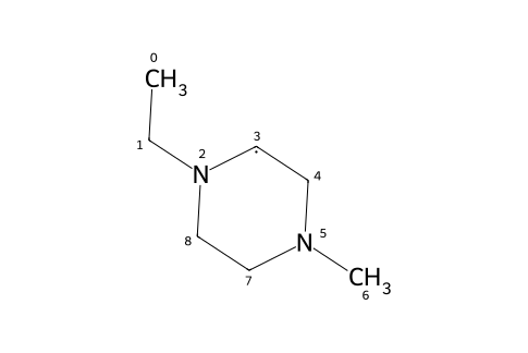 CCN1[CH]CN(C)CC1